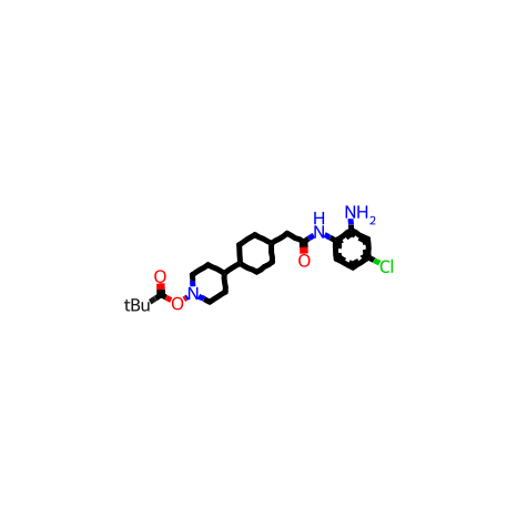 CC(C)(C)C(=O)ON1CCC(C2CCC(CC(=O)Nc3ccc(Cl)cc3N)CC2)CC1